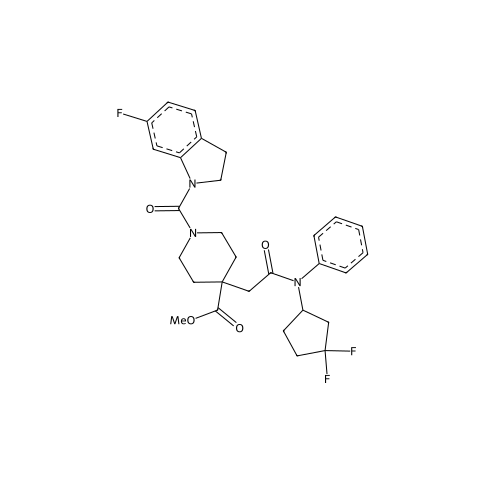 COC(=O)C1(CC(=O)N(c2ccccc2)C2CCC(F)(F)C2)CCN(C(=O)N2CCc3ccc(F)cc32)CC1